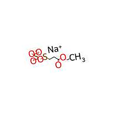 CCOC(=O)CCSOS(=O)(=O)[O-].[Na+]